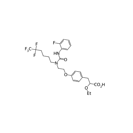 CCOC(Cc1ccc(OCCN(CCCCC(F)(F)C(F)(F)F)C(=O)Nc2ccccc2F)cc1)C(=O)O